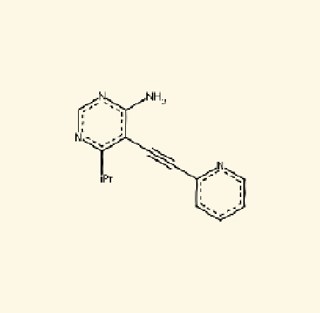 CC(C)c1ncnc(N)c1C#Cc1ccccn1